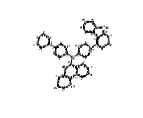 c1ccc(-c2ccc(N(c3ccc(-c4cccc5oc6ccccc6c45)cc3)c3cc4ccccc4c4ccccc34)cc2)cc1